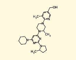 Cc1cc(CO)cnc1N1CCN(c2cc(N3CCCCC3)nc(N3CCCC3C)n2)C(C)C1